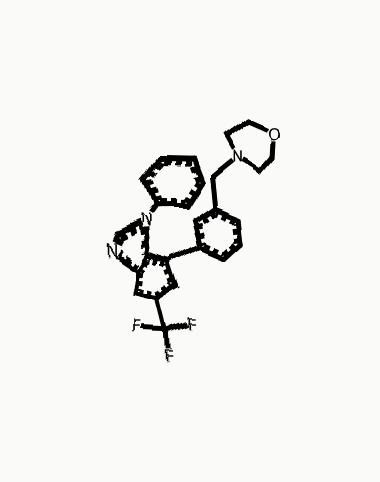 FC(F)(F)c1cc(-c2cccc(CN3CCOCC3)c2)c2c(c1)ncn2-c1ccccc1